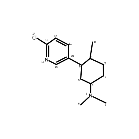 CC1CCC(N(C)C)CC1c1ccc(Cl)nc1